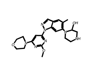 COc1nc(N2CCOCC2)cc(-n2ncc3cc(C)c(N4CCNCC4O)cc32)n1